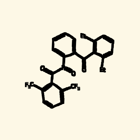 CCc1cccc(CC)c1C(=O)c1ccccc1[P](=O)C(=O)c1c(C(F)(F)F)cccc1C(F)(F)F